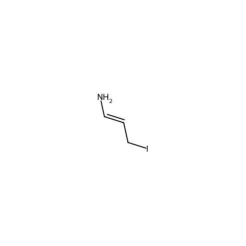 NC=CCI